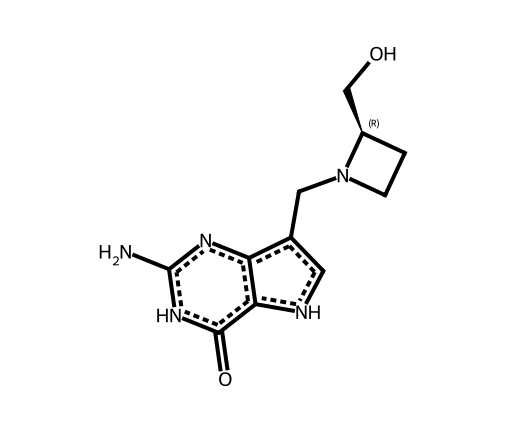 Nc1nc2c(CN3CC[C@@H]3CO)c[nH]c2c(=O)[nH]1